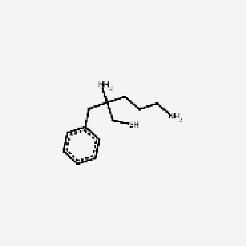 NCCCC(N)(CS)Cc1ccccc1